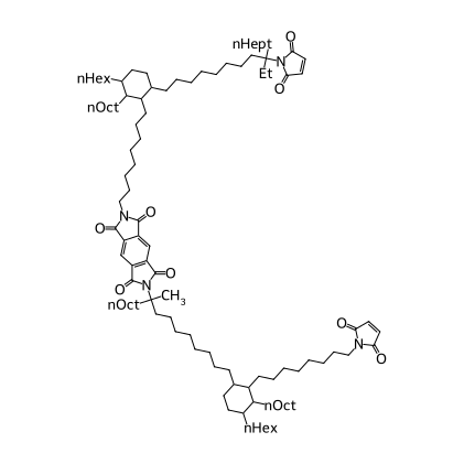 CCCCCCCCC1C(CCCCCC)CCC(CCCCCCCCC(C)(CCCCCCCC)n2c(=O)c3cc4c(=O)n(CCCCCCCCC5C(CCCCCCCCC(CC)(CCCCCCC)N6C(=O)C=CC6=O)CCC(CCCCCC)C5CCCCCCCC)c(=O)c4cc3c2=O)C1CCCCCCCCN1C(=O)C=CC1=O